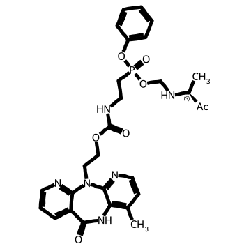 CC(=O)[C@H](C)NCOP(=O)(CCNC(=O)OCCN1c2ncccc2C(=O)Nc2c(C)ccnc21)Oc1ccccc1